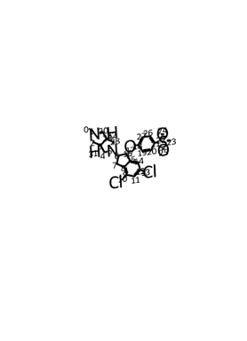 CN1C[C@H]2CN([C@@H]3Cc4c(Cl)cc(Cl)cc4[C@H]3Oc3ccc(S(C)(=O)=O)cc3)C[C@@H]2C1